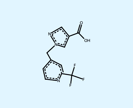 O=C(O)c1cnn(Cc2ccnc(C(F)(F)F)c2)c1